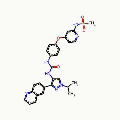 CC(C)n1cc(NC(=O)Nc2ccc(Oc3ccnc(NS(C)(=O)=O)c3)cc2)c(-c2ccc3ncccc3c2)n1